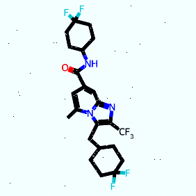 Cc1cc(C(=O)NC2CCC(F)(F)CC2)cc2nc(C(F)(F)F)c(CC3CCC(F)(F)CC3)n12